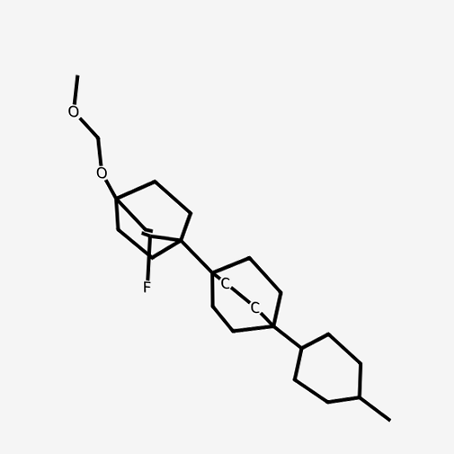 COCOC12C=C(F)C(C34CCC(C5CCC(C)CC5)(CC3)CC4)(CC1)CC2